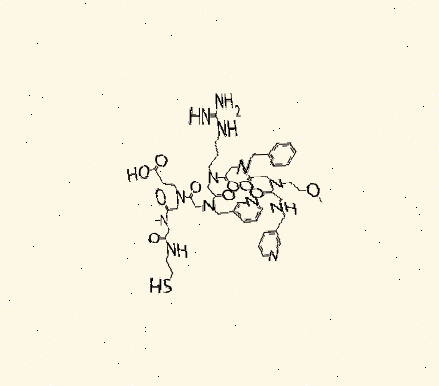 COCCN(CC(=O)N(CC(=O)N(CCCNC(=N)N)CC(=O)N(CC(=O)N(CCC(=O)O)CC(=O)N(C)CC(=O)NCCS)Cc1cccnc1)Cc1ccccc1)C(=O)CNCc1cccnc1